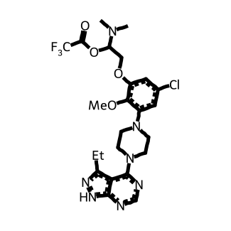 CCc1n[nH]c2ncnc(N3CCN(c4cc(Cl)cc(OCC(OC(=O)C(F)(F)F)N(C)C)c4OC)CC3)c12